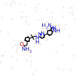 CC(C)(CNc1ccc(-c2ccc3[nH]nc(N)c3c2)nn1)c1cccc(CC(N)=O)c1